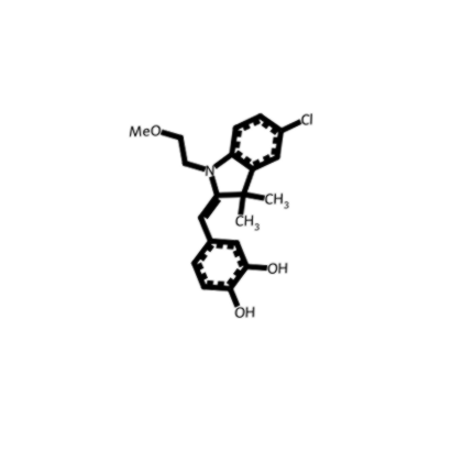 COCCN1/C(=C/c2ccc(O)c(O)c2)C(C)(C)c2cc(Cl)ccc21